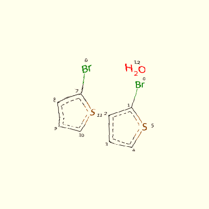 Brc1cccs1.Brc1cccs1.O